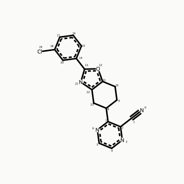 N#Cc1nccnc1C1CCc2oc(-c3cccc(Cl)c3)nc2C1